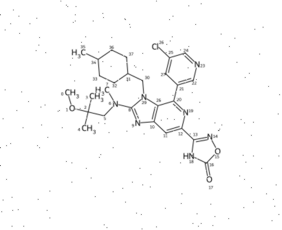 COC(C)(C)CN(C)c1nc2cc(-c3noc(=O)[nH]3)nc(-c3cncc(Cl)c3)c2n1CC1CCC(C)CC1